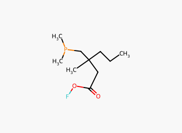 CCCC(C)(CC(=O)OF)CP(C)C